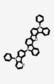 c1ccc(-n2c3ccc(-n4c5ccccc5c5c6oc7c(ccc8c7c7ccccc7n8-c7ccccc7)c6ccc54)cc3c3ncccc32)cc1